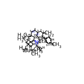 C=C(CC(/C=C\C1=C(C)C2(C)CC3(C)[C@@H](C(C)(C)C(C)(C)C)CC23C(N(CC)CC2CC2)C1)=C\C)Cc1ccc(C)cc1